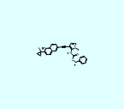 C[C@@H](OC(=O)Nc1c(C#Cc2ccc3cc(C4(C=O)CC4)ccc3c2)cnn1C)c1ccccc1